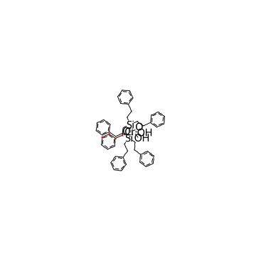 [O]=[Cr](=[O])([OH])([OH])([Si](CCc1ccccc1)(CCc1ccccc1)CCc1ccccc1)[Si](CCc1ccccc1)(CCc1ccccc1)CCc1ccccc1